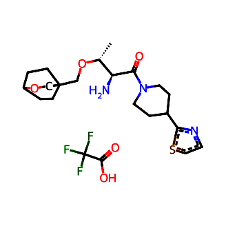 C[C@@H](OCC12CCC(CC1)OC2)[C@H](N)C(=O)N1CCC(c2nccs2)CC1.O=C(O)C(F)(F)F